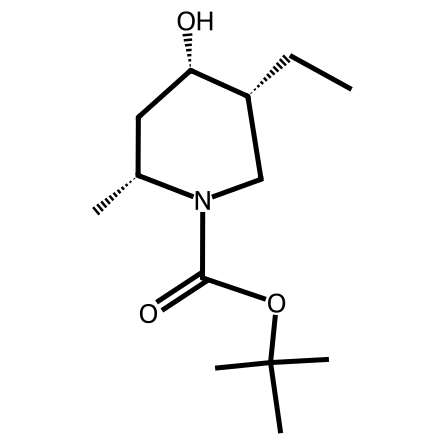 CC[C@@H]1CN(C(=O)OC(C)(C)C)[C@H](C)C[C@@H]1O